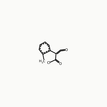 Cc1ccccc1C(=C=O)C(=O)Cl